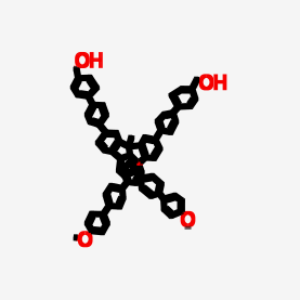 COc1ccc(-c2ccc(-c3ccc(-c4ccc(-c5ccc(-c6ccc(CO)cc6)cc5)cc4C4(C)c5cc(-c6ccc(-c7ccc(CO)cc7)cc6)ccc5-c5ccc(-c6ccc(-c7ccc(OC)cc7)cc6)cc54)cc3)cc2)cc1